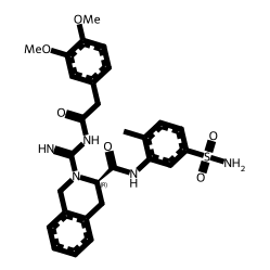 COc1ccc(CC(=O)NC(=N)N2Cc3ccccc3C[C@@H]2C(=O)Nc2cc(S(N)(=O)=O)ccc2C)cc1OC